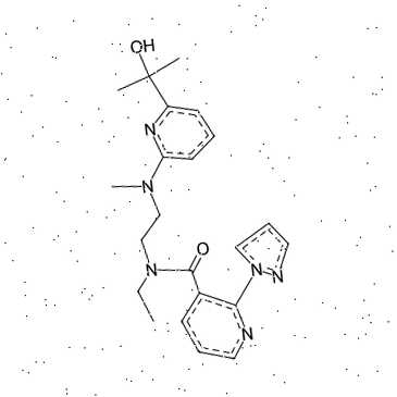 CCN(CCN(C)c1cccc(C(C)(C)O)n1)C(=O)c1cccnc1-n1cccn1